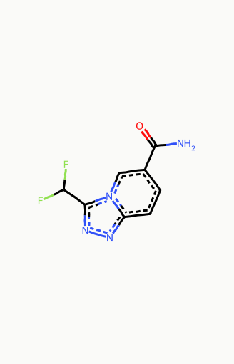 NC(=O)c1ccc2nnc(C(F)F)n2c1